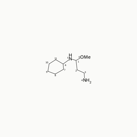 COC(CCN)NC1CCCCC1